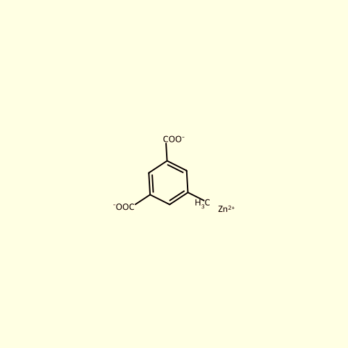 Cc1cc(C(=O)[O-])cc(C(=O)[O-])c1.[Zn+2]